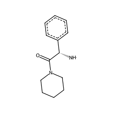 [NH][C@H](C(=O)N1CCCCC1)c1ccccc1